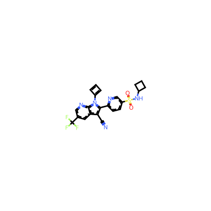 N#Cc1c(-c2ccc(S(=O)(=O)NC3CCC3)cn2)n(C2=CC=C2)c2ncc(C(F)(F)F)cc12